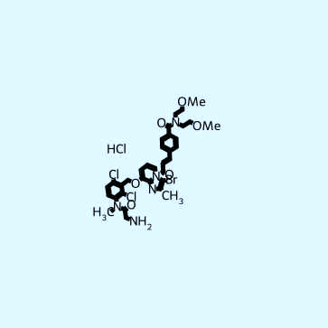 COCCN(CCOC)C(=O)c1ccc(C=CC(=O)[N+]23C=CC=C(OCc4c(Cl)ccc(N(C)C(=O)CN)c4Cl)C2=NC(C)=C3Br)cc1.Cl